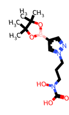 CC1(C)OB(c2cnn(CCCN(O)C(=O)O)c2)OC1(C)C